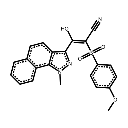 COc1ccc(S(=O)(=O)C(C#N)=C(O)c2nn(C)c3c2ccc2ccccc23)cc1